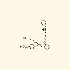 O=C(O)CCCCC(/C=C/c1ccccc1OCCCCCNCc1ccccc1)Cc1ccc(C(=O)O)cc1